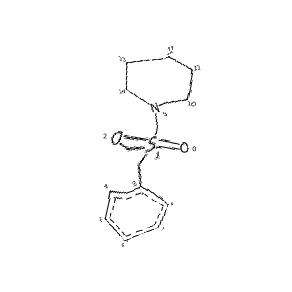 O=S(=O)(c1cc[c]cc1)N1CCCCC1